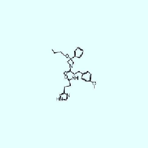 CCCCOC1(c2ccccc2)CN(C(=O)C(Cc2ccc(OC)cc2)NC(=O)CCc2c[nH]cn2)C1